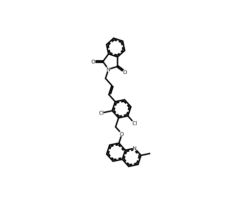 Cc1ccc2cccc(OCc3c(Cl)ccc(C=CCN4C(=O)c5ccccc5C4=O)c3Cl)c2n1